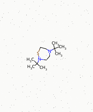 CC(C)(C)N1CCSN(C(C)(C)C)CC1